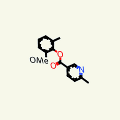 COc1cccc(C)c1OC(=O)c1ccc(C)nc1